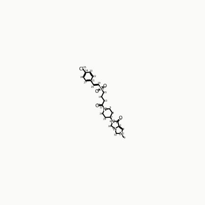 CN1C=C2C(=O)N(C3CCN(C(=O)CCCS(=O)(=O)C=Cc4ccc(Cl)cc4)CC3)CN2C1